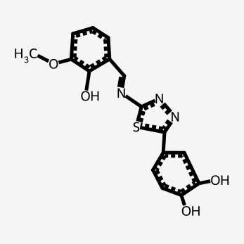 COc1cccc(C=Nc2nnc(-c3ccc(O)c(O)c3)s2)c1O